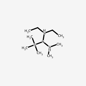 CC[SiH](CC)N([SiH](C)C)[Si](C)(C)C